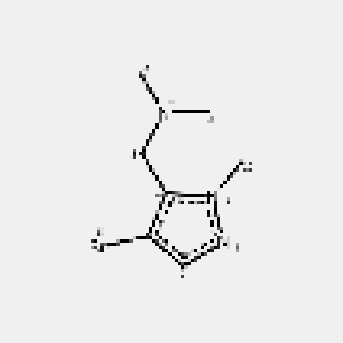 CN(C)Cc1c(Br)cnn1C